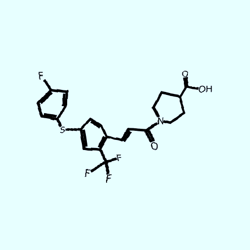 O=C(O)C1CCN(C(=O)C=Cc2ccc(Sc3ccc(F)cc3)cc2C(F)(F)F)CC1